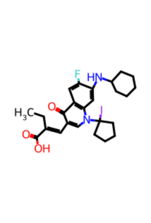 CCC(=Cc1cn(C2(I)CCCC2)c2cc(NC3CCCCC3)c(F)cc2c1=O)C(=O)O